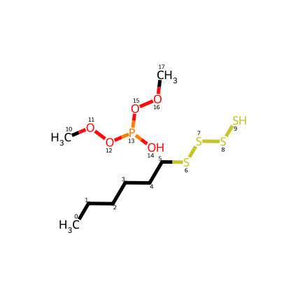 CCCCCCSSSS.COOP(O)OOC